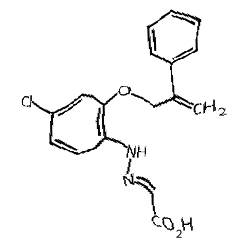 C=C(COc1cc(Cl)ccc1NN=CC(=O)O)c1ccccc1